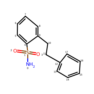 NS(=O)(=O)c1ccccc1CCc1ccccc1